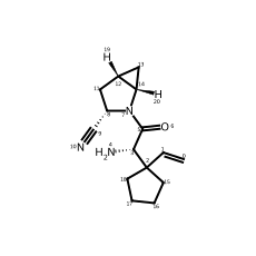 C=CC1([C@H](N)C(=O)N2[C@H](C#N)C[C@@H]3C[C@@H]32)CCCC1